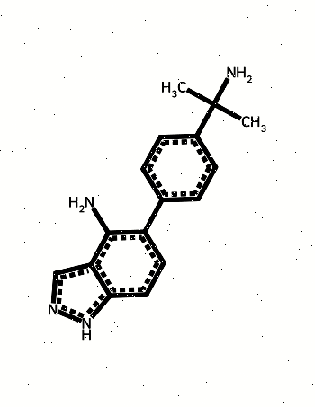 CC(C)(N)c1ccc(-c2ccc3[nH]ncc3c2N)cc1